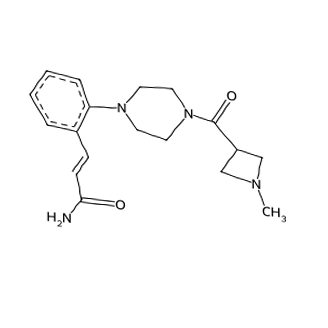 CN1CC(C(=O)N2CCN(c3ccccc3/C=C/C(N)=O)CC2)C1